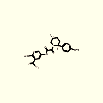 CNc1ccc([C@]2(C)CC[C@@H](C)CN2C(=O)C(=O)Nc2cnc(OC)c(C(N)=O)c2)cn1